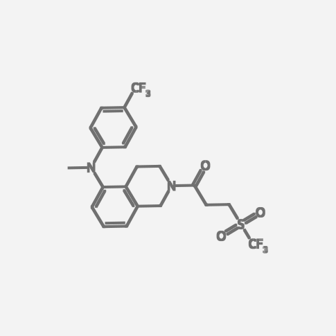 CN(c1ccc(C(F)(F)F)cc1)c1cccc2c1CCN(C(=O)CCS(=O)(=O)C(F)(F)F)C2